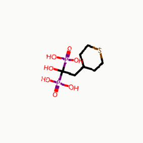 O=P(O)(O)C(O)(CC1CCSCC1)P(=O)(O)O